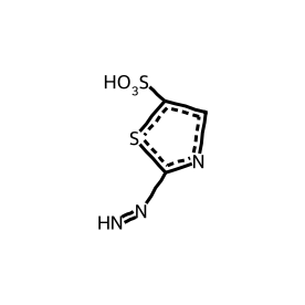 N=Nc1ncc(S(=O)(=O)O)s1